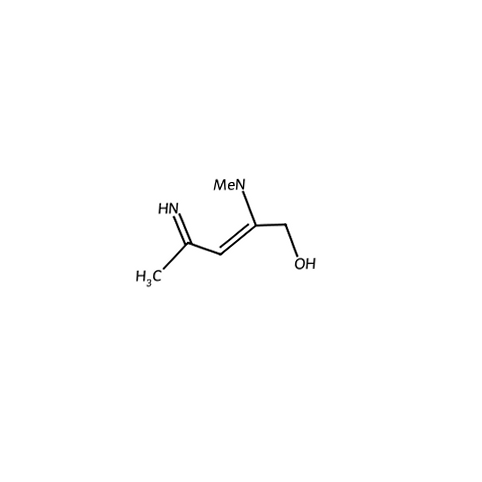 CN/C(=C\C(C)=N)CO